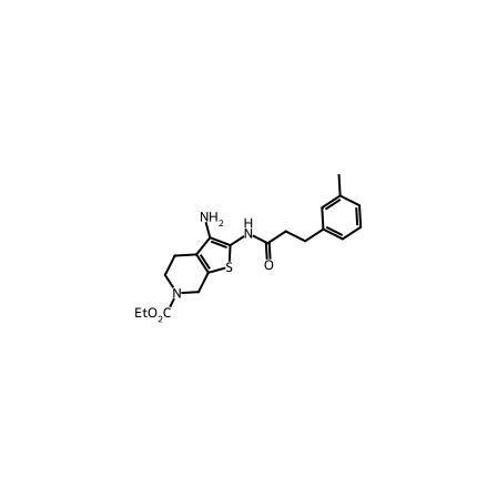 CCOC(=O)N1CCc2c(sc(NC(=O)CCc3cccc(C)c3)c2N)C1